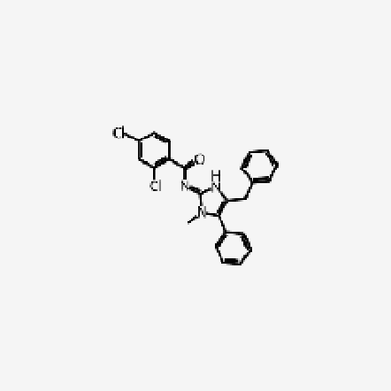 Cn1c(-c2ccccc2)c(Cc2ccccc2)[nH]/c1=N\C(=O)c1ccc(Cl)cc1Cl